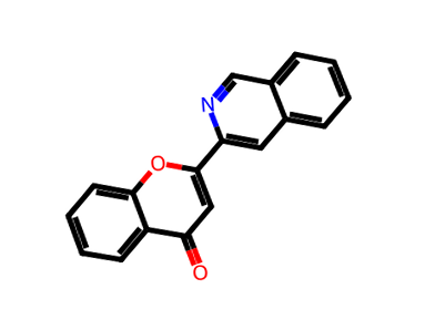 O=c1cc(-c2cc3ccccc3cn2)oc2ccccc12